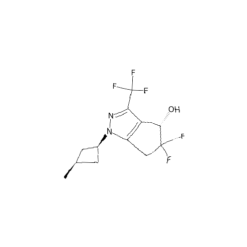 C[C@H]1C[C@@H](n2nc(C(F)(F)F)c3c2CC(F)(F)[C@H]3O)C1